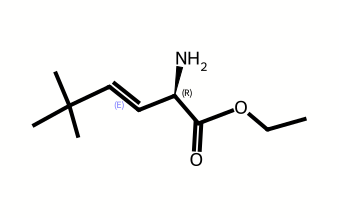 CCOC(=O)[C@H](N)/C=C/C(C)(C)C